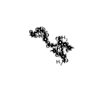 CCn1nc(C)cc1C(=O)Nc1nc2cc(C(N)=O)cnc2n1C/C=C/Cn1c2nc(-c3cc(C)nn3CC)ncc2c2cc(C(N)=O)cc(OCCC3CN(C(=O)OCc4ccc(NC(=O)[C@@H](C)NC(=O)[C@H](NC(=O)CCN5C(=O)C=CC5=O)C(C)C)cc4)C3)c21